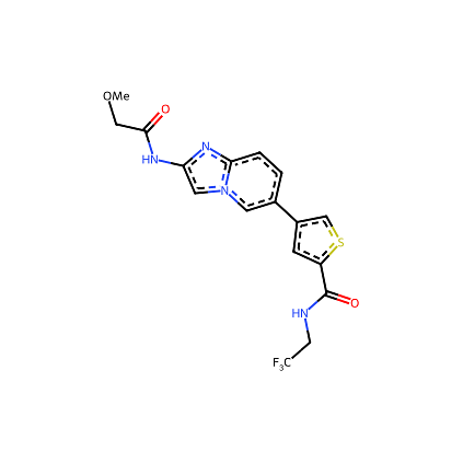 COCC(=O)Nc1cn2cc(-c3csc(C(=O)NCC(F)(F)F)c3)ccc2n1